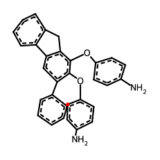 Nc1ccc(Oc2c(-c3ccccc3)cc3c(c2Oc2ccc(N)cc2)Cc2ccccc2-3)cc1